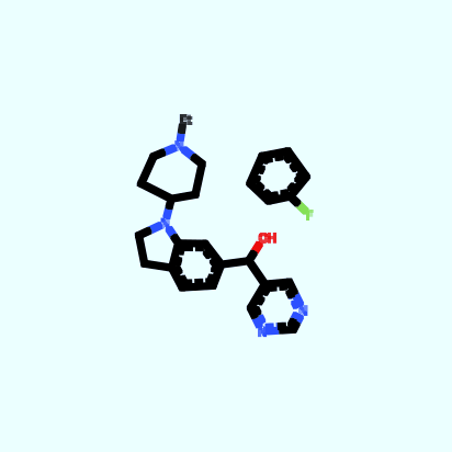 CCN1CCC(N2CCc3ccc(C(O)c4cncnc4)cc32)CC1.Fc1ccccc1